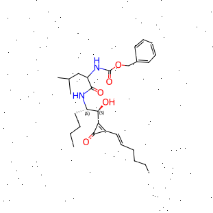 CCCCC=Cc1c([C@H](O)[C@H](CCCC)NC(=O)C(CC(C)C)NC(=O)OCc2ccccc2)c1=O